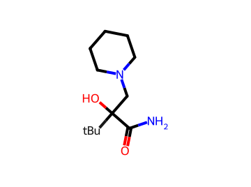 CC(C)(C)C(O)(CN1CCCCC1)C(N)=O